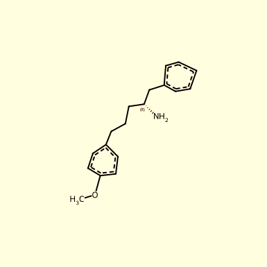 COc1ccc(CCC[C@@H](N)Cc2ccccc2)cc1